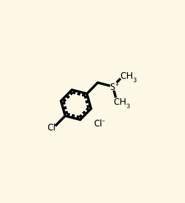 C[S+](C)Cc1ccc(Cl)cc1.[Cl-]